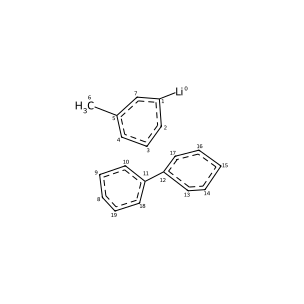 [Li][c]1cccc(C)c1.c1ccc(-c2ccccc2)cc1